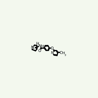 Cc1ccnc(Oc2ccc(C(=O)N[C@H]3CN4CCC3CC4)cc2)c1